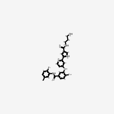 Cc1ccc(F)c(NC(=O)c2ccc(F)c(Oc3ccnc(-c4cc(C(=O)NCCCO)c[nH]4)c3)c2)c1